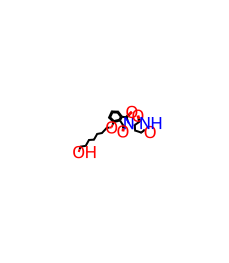 O=C1CCC(N2C(=O)c3cccc(OCCCCCCCO)c3C2=O)C(=O)N1